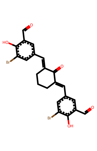 O=Cc1cc(/C=C2\CCC/C(=C\c3cc(Br)c(O)c(C=O)c3)C2=O)cc(Br)c1O